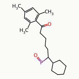 Cc1cc(C)c(C(=O)CCCCC(P=O)C2CCCCC2)c(C)c1